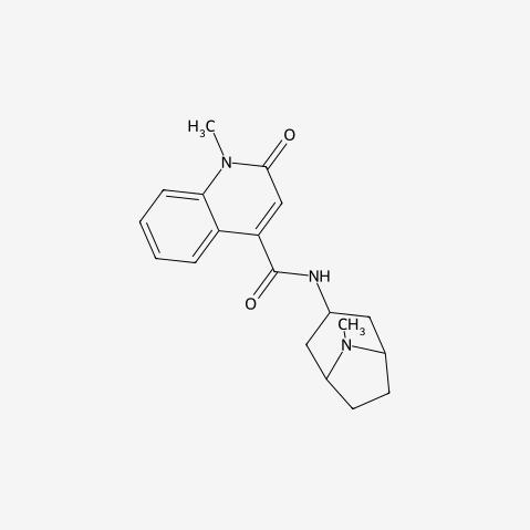 CN1C2CCC1CC(NC(=O)c1cc(=O)n(C)c3ccccc13)C2